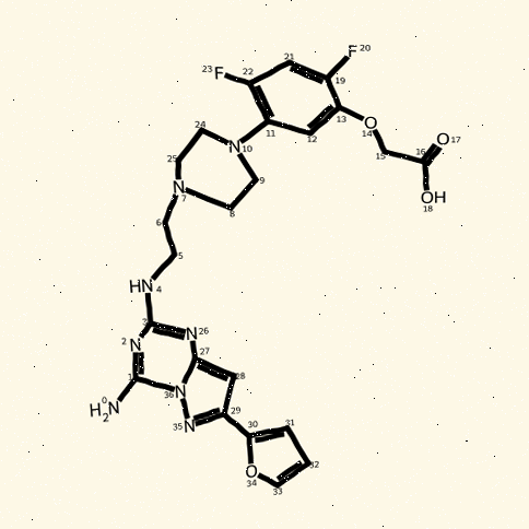 Nc1nc(NCCN2CCN(c3cc(OCC(=O)O)c(F)cc3F)CC2)nc2cc(-c3ccco3)nn12